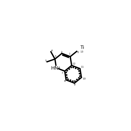 CC1=CC(C)(C)Nc2ccccc21.[Ti]